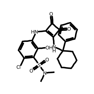 CN(C)S(=O)(=O)c1c(Cl)ccc(Nc2c(NC3(c4ccccc4)CCCCC3)c(=O)c2=O)c1O